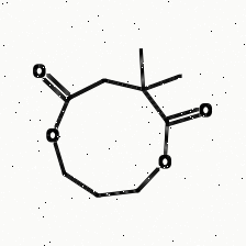 CC1(C)CC(=O)OCCCOC1=O